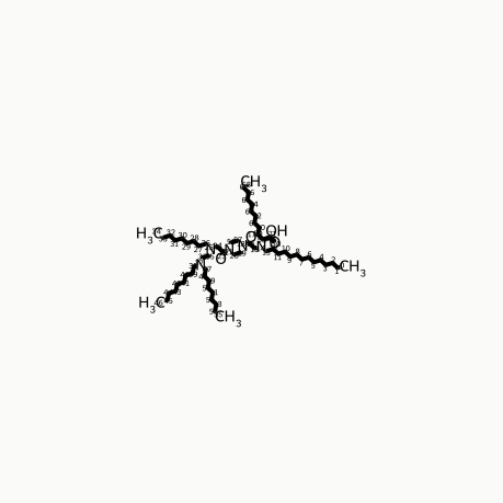 CCCCCCCCCCCCCCN(CC(=O)N1CCN(C(=O)CN(CCCCCCCCC)CCN(CCCCCCCCC)CCCCCCCCC)CC1)C(CCCCCCCCCC)C(=O)O